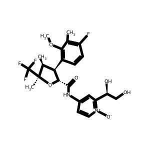 COc1c([C@H]2[C@H](C(=O)Nc3cc[n+]([O-])c([C@@H](O)CO)c3)O[C@@](C)(C(F)(F)F)[C@H]2C)ccc(F)c1C